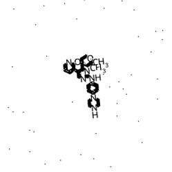 CC1(C)C[C@]2(CCO1)Oc1ncccc1-c1cnc(Nc3ccc(N4CCNCC4)cc3)nc12